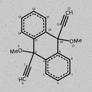 C#CC1(OC)c2ccccc2C(C#C)(OC)c2ccccc21